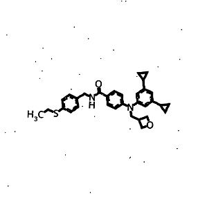 CCSc1ccc(CNC(=O)c2ccc(N(CC3COC3)c3cc(C4CC4)cc(C4CC4)c3)cc2)cc1